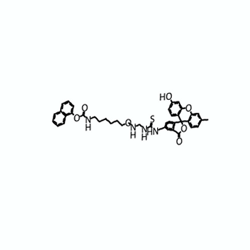 Cc1ccc2c(c1)Oc1cc(O)ccc1C21OC(=O)c2cc(NC(=S)NCNOCCCCCCNC(=O)Oc3cccc4ccccc34)ccc21